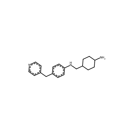 NC1CCC(CNc2ccc(Cc3ccncc3)cc2)CC1